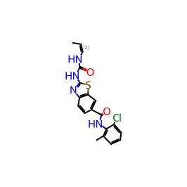 C/C=C\NC(=O)Nc1nc2ccc(C(=O)Nc3c(C)cccc3Cl)cc2s1